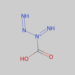 N=N[N+](=N)C(=O)O